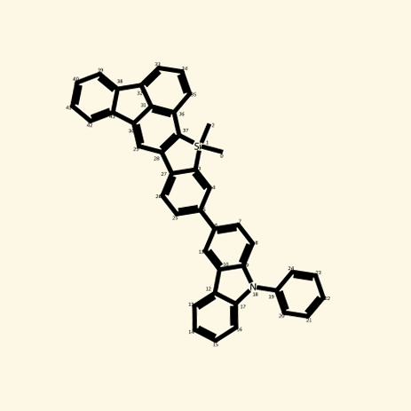 C[Si]1(C)c2cc(-c3ccc4c(c3)c3ccccc3n4-c3ccccc3)ccc2-c2cc3c4c(cccc4c21)-c1ccccc1-3